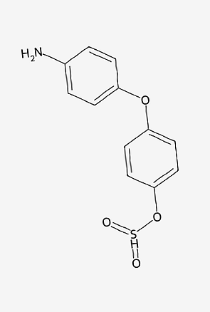 Nc1ccc(Oc2ccc(O[SH](=O)=O)cc2)cc1